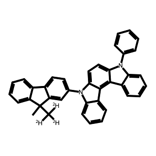 [2H]C([2H])([2H])C1(C)c2ccccc2-c2ccc(-n3c4ccccc4c4c5c6ccccc6n(-c6ccccc6)c5ccc43)cc21